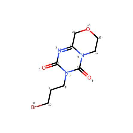 O=c1nc2n(c(=O)n1CCCBr)CCOC2